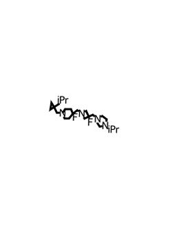 CC(C)CC1(CN2CCC(F)(CN3CC(F)(CN4CCN(C(C)C)CC4)C3)CC2)CC1